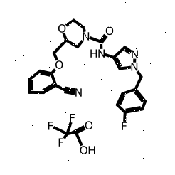 N#Cc1ccccc1OCC1CN(C(=O)Nc2cnn(Cc3ccc(F)cc3)c2)CCO1.O=C(O)C(F)(F)F